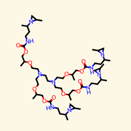 CC(COC(=O)NCCC(C)N1CC1C)OCCN(CCOC(C)COC(=O)NCCC(C)N1CC1C)CCN(CCOC(C)COC(=O)NCCC(C)N1CC1C)CCOC(C)COC(=O)NCCC(C)N1CC1C